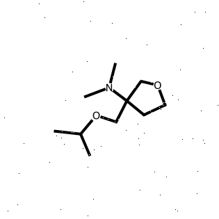 CC(C)OCC1(N(C)C)CCOC1